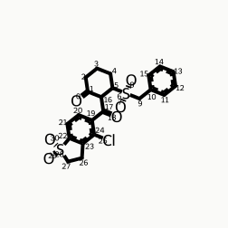 O=C1CCCC(S(=O)(=O)Cc2ccccc2)C1C(=O)c1ccc2c(c1Cl)CCS2(=O)=O